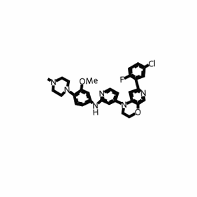 COc1cc(Nc2cc(N3CCOc4cnc(-c5cc(Cl)ccc5F)cc43)ccn2)ccc1N1CCN(C)CC1